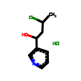 CC(Cl)CC(O)c1cccnc1.Cl